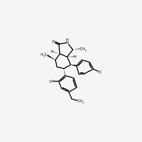 CCc1ccc([C@@H]2C[C@@H](C)[C@H]3C(=O)N[C@H](C)[C@H]3[C@H]2c2ccc(Cl)cc2)c(Cl)c1